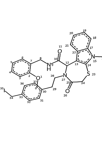 COc1ccccc1CNC(=O)C1c2c(n(C)c3ccccc23)SCC(=O)N1CCc1ccc(CI)cc1